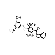 CNc1cc(OCc2cc(CO)cc([N+](=O)[O-])c2)c(OC)cc1C(=O)N1CCc2ccccc21